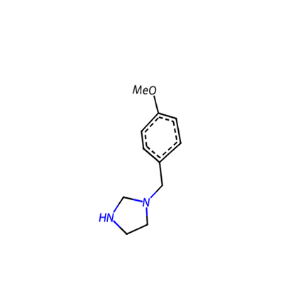 COc1ccc(CN2CCNC2)cc1